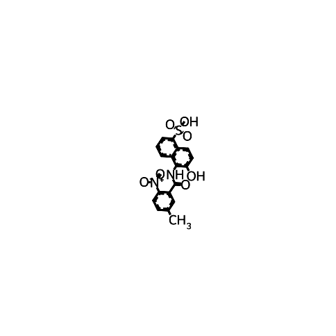 Cc1ccc([N+](=O)[O-])c(C(=O)Nc2c(O)ccc3c(S(=O)(=O)O)cccc23)c1